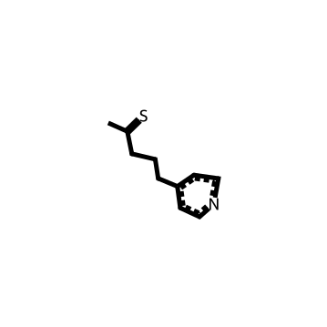 CC(=S)CCCc1ccncc1